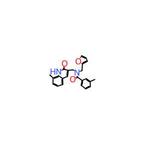 Cc1cccc(C(=O)N(Cc2ccco2)Cc2cc3cccc(C)c3[nH]c2=O)c1